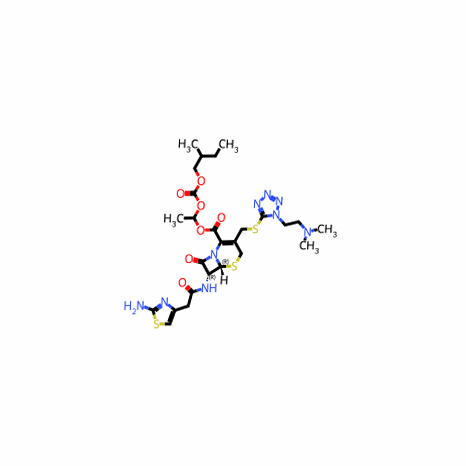 CCC(C)COC(=O)OC(C)OC(=O)C1=C(CSc2nnnn2CCN(C)C)CS[C@@H]2[C@H](NC(=O)Cc3csc(N)n3)C(=O)N12